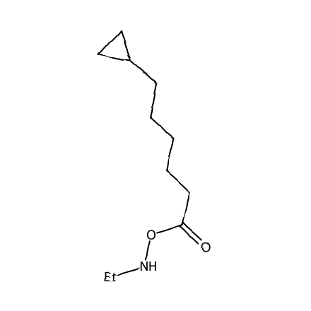 CCNOC(=O)CCCCCC1CC1